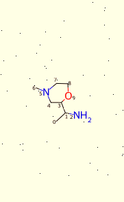 CC(N)C1CN(C)CCO1